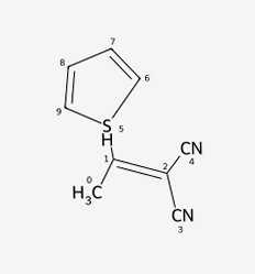 CC(=C(C#N)C#N)[SH]1C=CC=C1